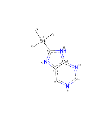 [CH3][Sn]([CH3])([CH3])[c]1nc2cncnc2[nH]1